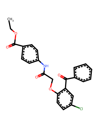 CCOC(=O)c1ccc(NC(=O)COc2ccc(Cl)cc2C(=O)c2ccccc2)cc1